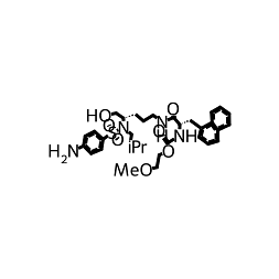 COCCOC(=O)N[C@@H](Cc1cccc2ccccc12)C(=O)NCCC[C@@H](CO)N(CC(C)C)S(=O)(=O)c1ccc(N)cc1